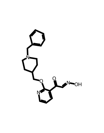 O=C(C=NO)c1cccnc1OCC1CCN(Cc2ccccc2)CC1